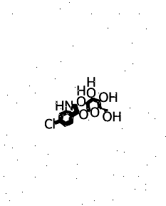 OC[C@H]1O[C@@H](Oc2c[nH]c3cc(Cl)ccc23)[C@H](O)[C@@H](O)[C@@H]1O